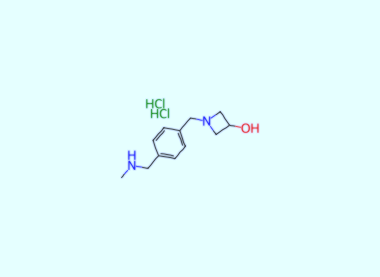 CNCc1ccc(CN2CC(O)C2)cc1.Cl.Cl